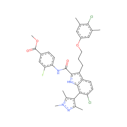 COC(=O)c1ccc(NC(=O)c2[nH]c3c(-c4c(C)nn(C)c4C)c(Cl)ccc3c2CCCOc2cc(C)c(Cl)c(C)c2)c(F)c1